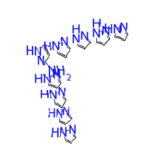 Nc1cc[nH]n1.c1cn[nH]c1.c1cn[nH]c1.c1cn[nH]c1.c1cn[nH]c1.c1cn[nH]c1.c1cn[nH]c1.c1cn[nH]c1.c1cn[nH]c1